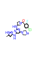 Cc1cc(Nc2cc(N3CCN(C)CC3)nc(N[C@H]3CCN(C(=O)c4ccc(Cl)cc4F)C3)n2)n[nH]1